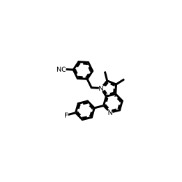 Cc1c(C)n(Cc2cccc(C#N)c2)c2c(-c3ccc(F)cc3)nccc12